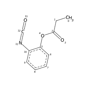 CCC(=O)Oc1ccccc1N=C=O